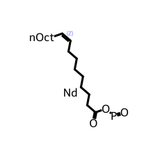 CCCCCCCC/C=C\CCCCCCCC(=O)OP=O.[Nd]